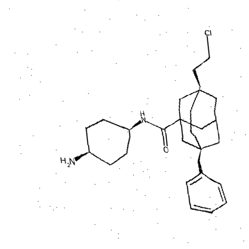 N[C@H]1CC[C@@H](NC(=O)C23CC4C[C@@](CCCl)(C2)C[C@](c2ccccc2)(C4)C3)CC1